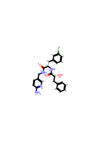 Nc1ccc(CNC(=O)[C@H](Cc2cccc(F)c2)NC(=O)[C@H](O)Cc2ccccc2)cn1